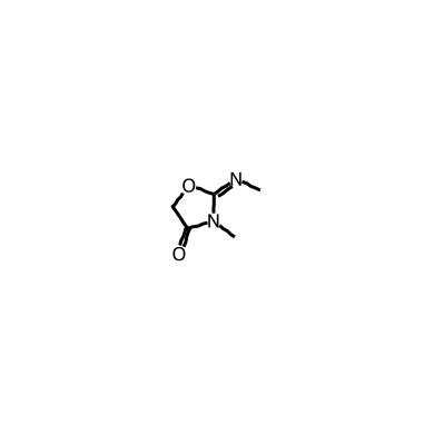 CN=C1OCC(=O)N1C